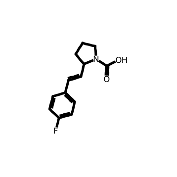 O=C(O)N1CCCC1/C=C/c1ccc(F)cc1